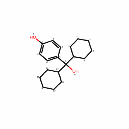 Oc1ccc(C(O)(C2CCCCC2)C2CCCCC2)cc1